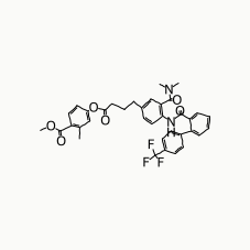 COC(=O)c1ccc(OC(=O)CCCc2ccc(NC(=O)c3ccccc3-c3ccc(C(F)(F)F)cc3)c(C(=O)N(C)C)c2)cc1C